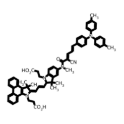 Cc1ccc(N(c2ccc(C)cc2)c2ccc(/C=C/C=C(\C#N)C(=O)N(C)c3ccc4c(c3)C(C)(C)C(/C=C/C=C3/N(CCC(=O)O)c5c(c6ccccc6c6ccccc56)C3(C)C)N4CCC(=O)O)cc2)cc1